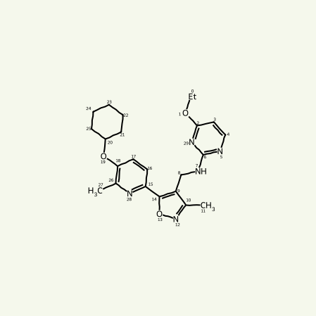 CCOc1ccnc(NCc2c(C)noc2-c2ccc(OC3CCCCC3)c(C)n2)n1